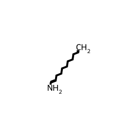 C=CCCCCCCC/C=C/N